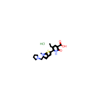 CCc1cc(C(=O)O)c(=O)[nH]c1-c1cc2cc(CN3CCCC3)n(C)c2s1.Cl